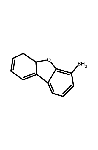 Bc1cccc2c1OC1CC=CC=C21